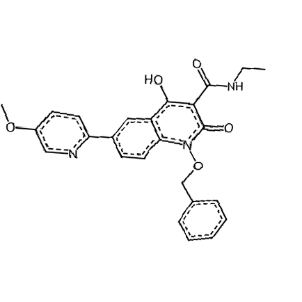 CCNC(=O)c1c(O)c2cc(-c3ccc(OC)cn3)ccc2n(OCc2ccccc2)c1=O